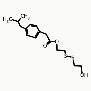 CC(C)Cc1ccc(CC(=O)OCCSSCCO)cc1